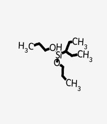 CCCO[SiH](OCCC)C(CC)CC